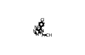 C#CCn1nc(-c2ccc(Cl)cc2)c2c(N)ncnc21